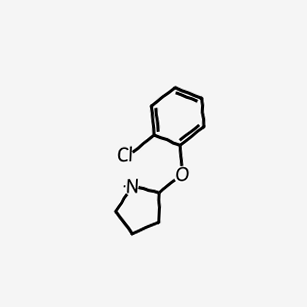 Clc1ccccc1OC1CCC[N]1